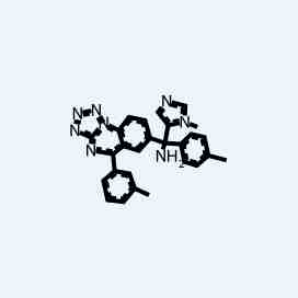 Cc1ccc(C(N)(c2ccc3c(c2)c(-c2cccc(C)c2)nc2nnnn23)c2cncn2C)cc1